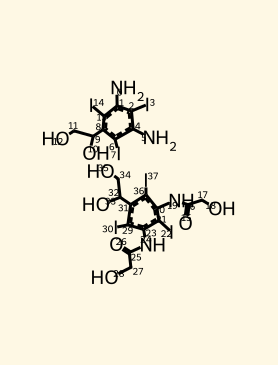 Nc1c(I)c(N)c(I)c(C(O)CO)c1I.O=C(CO)Nc1c(I)c(NC(=O)CO)c(I)c(C(O)CO)c1I